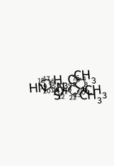 CC1(C)CCC(C)(C)c2cc(-c3csc(C4CCCNC4)n3)ccc21